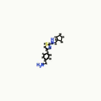 NCc1ccc(-c2csc(NCC3CCCC3)n2)cc1